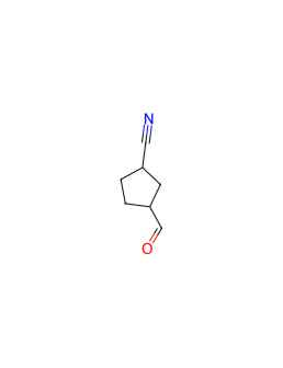 N#CC1CCC(C=O)C1